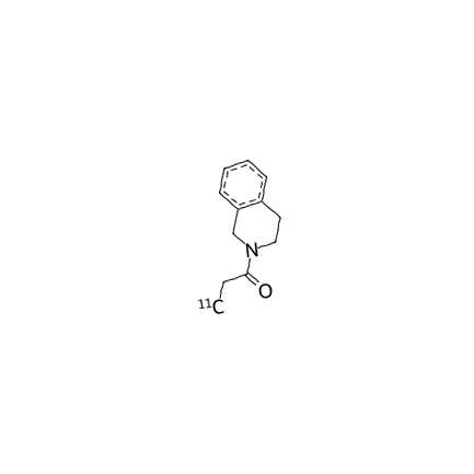 [11CH3]CC(=O)N1CCc2ccccc2C1